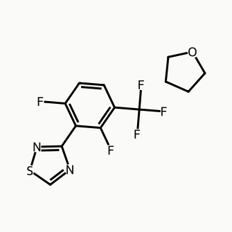 C1CCOC1.Fc1ccc(C(F)(F)F)c(F)c1-c1ncsn1